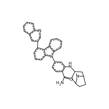 CN1C2CCC1CC(Nc1cc(-n3c4ccccc4c4c(-c5cnc6ccccc6c5)cccc43)ccc1C(N)=O)C2